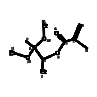 C=C(C)C(=O)OC(CC)[Si](C)(OCC)OCC